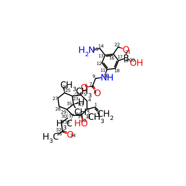 C=C[C@]1(C)C[C@@H](OC(=O)CNc2cc(CN)c3c(c2)B(O)OC3)[C@]2(C)[C@H](C)CC[C@@](CCC(C)=O)([C@H]2C)[C@@H](C)[C@@H]1O